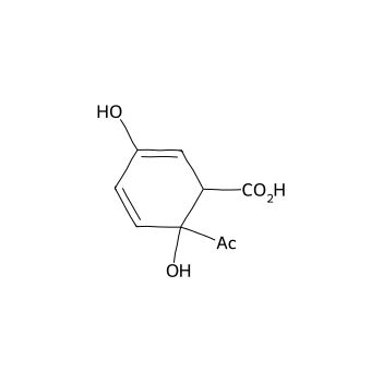 CC(=O)C1(O)C=CC(O)=CC1C(=O)O